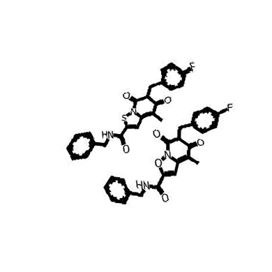 CC1=C2C=C(C(=O)NCc3ccccc3)ON2C(=O)C(Cc2ccc(F)cc2)C1=O.CC1=C2C=C(C(=O)NCc3ccccc3)SN2C(=O)C(Cc2ccc(F)cc2)C1=O